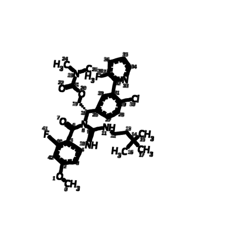 COc1ccc(C(=O)N(C(=N)NCCC(C)(C)C)[C@H](COC(=O)N(C)C)c2ccc(Cl)c(-c3ncccc3F)c2)c(F)c1